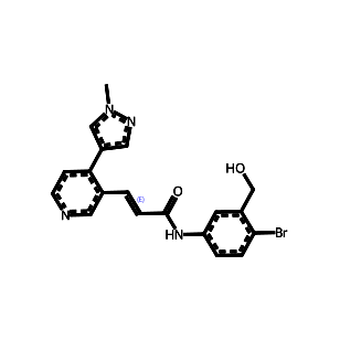 Cn1cc(-c2ccncc2/C=C/C(=O)Nc2ccc(Br)c(CO)c2)cn1